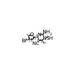 CC1=C(C#N)C(c2cc(Br)co2)=NC(N)N1S